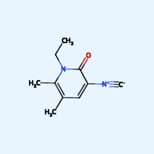 [C-]#[N+]c1cc(C)c(C)n(CC)c1=O